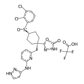 O=C(O)C(F)(F)F.O=c1[nH]nc([C@]2(Cc3cccc(Nc4cc[nH]n4)n3)CC[C@@H]([S+]([O-])c3cccc(Cl)c3Cl)CC2)o1